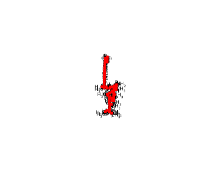 CC[C@H](NC(=O)[C@H](C)NC(=O)[C@H](CC(C)C)NC(=O)[C@H](CC(=O)OC(C)(C)C)NC(=O)CNC(=O)[C@H](CCCN/C(=N\C(=O)OC(C)(C)C)NC(=O)OC(C)(C)C)NC(C)=O)C(=O)N[C@@H](CC(C)C)C(=O)N[C@@H](CCCNC(N)=O)C(=O)NC(C)(C)C(=O)N[C@@H](CC(C)C)C(=O)NCCOCCOCCOCCOCCOCCC(=O)Oc1c(F)c(F)cc(F)c1F